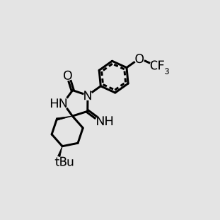 CC(C)(C)[C@H]1CC[C@@]2(CC1)NC(=O)N(c1ccc(OC(F)(F)F)cc1)C2=N